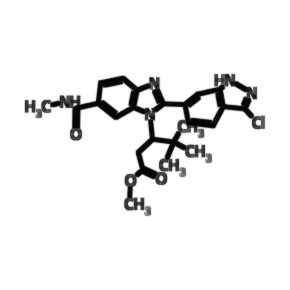 CNC(=O)c1ccc2nc(-c3ccc4c(Cl)n[nH]c4c3)n(C(CC(=O)OC)C(C)(C)C)c2c1